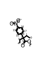 CCC(CC)(C(=O)OC)c1ccc([N+](=O)[O-])cc1